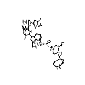 Cc1cnc(Nc2cc(C)n(C)n2)nc1-c1c[nH]c2c(NC(=O)CN3C[C@@H](F)[C@H](Oc4ccncc4)C3)cccc12